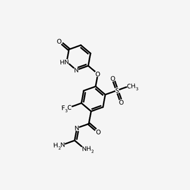 CS(=O)(=O)c1cc(C(=O)N=C(N)N)c(C(F)(F)F)cc1Oc1ccc(=O)[nH]n1